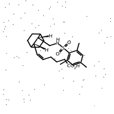 Cc1cc(C)c(S(=O)(=O)NC[C@H]2C3CCC(CC3)[C@H]2/C=C\CCCC(=O)O)c(C)c1